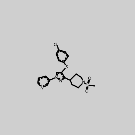 CS(=O)(=O)N1CCC(c2nn(-c3cccnc3)cc2Sc2ccc(Cl)cc2)CC1